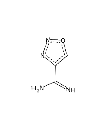 N=C(N)c1conn1